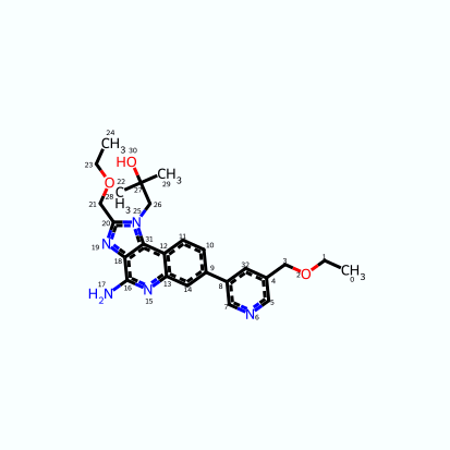 CCOCc1cncc(-c2ccc3c(c2)nc(N)c2nc(COCC)n(CC(C)(C)O)c23)c1